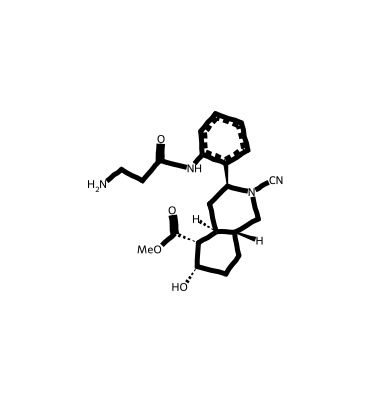 COC(=O)[C@@H]1[C@H]2C[C@@H](c3ccccc3NC(=O)CCN)N(C#N)C[C@@H]2CC[C@@H]1O